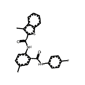 Cc1ccc(NC(=O)c2sc3ccccc3c2C)c(C(=O)Nc2ccc(F)cc2)c1